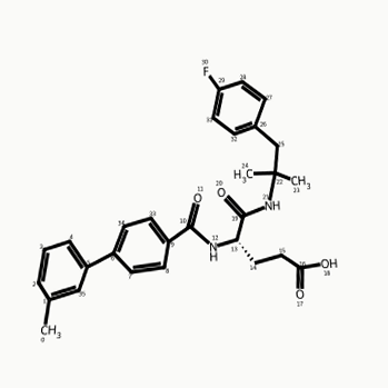 Cc1cccc(-c2ccc(C(=O)N[C@@H](CCC(=O)O)C(=O)NC(C)(C)Cc3ccc(F)cc3)cc2)c1